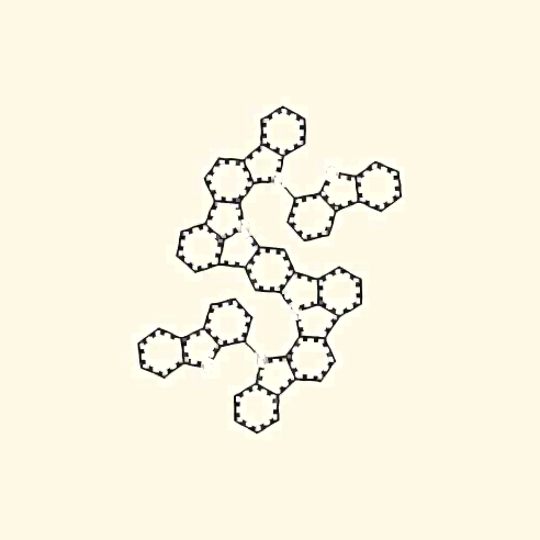 c1ccc2c(c1)oc1c(-n3c4ccccc4c4ccc5c6cccc7c8cc9c(cc8n(c76)c5c43)c3cccc4c5ccc6c7ccccc7n(-c7cccc8c7oc7ccccc78)c6c5n9c34)cccc12